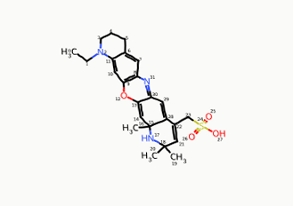 CCN1CCCc2cc3c(cc21)OC1=CC2(C)NC(C)(C)C=C(CS(=O)(=O)O)C2=CC1=N3